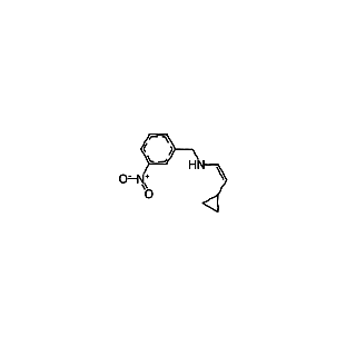 O=[N+]([O-])c1cccc(CN/C=C\C2CC2)c1